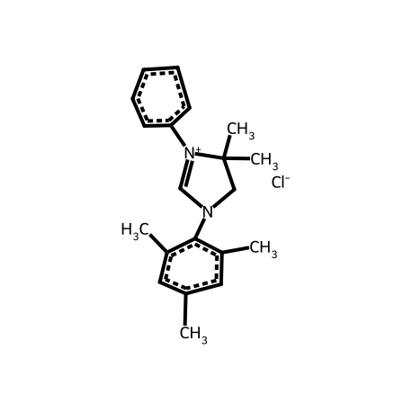 Cc1cc(C)c(N2C=[N+](c3ccccc3)C(C)(C)C2)c(C)c1.[Cl-]